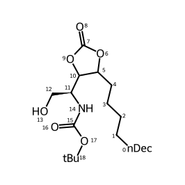 CCCCCCCCCCCCCCC1OC(=O)OC1[C@H](CO)NC(=O)OC(C)(C)C